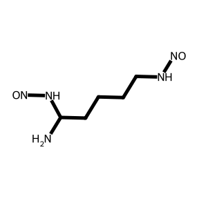 NC(CCCCNN=O)NN=O